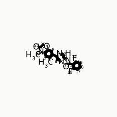 Cc1cc2c(cc1-c1cnc(NC(=O)c3c(F)cccc3F)cn1)OCC(=O)N2C